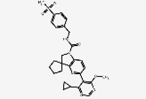 COc1ncnc(C2CC2)c1-c1ccc2c(n1)C1(CCCC1)CN2C(=O)NCc1ccc(S(C)(=O)=O)cc1